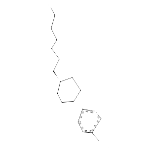 CCCCCCC[C@H]1CC[C@H](c2ccc(C)cn2)CC1